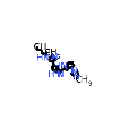 C=C(CCCC)Nc1cncc(-c2ccc3[nH]nc(-c4cc5c(N6CCN(C)CC6)cccc5[nH]4)c3c2)c1